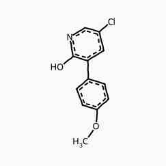 COc1ccc(-c2cc(Cl)cnc2O)cc1